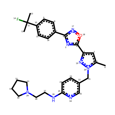 Cc1cc(-c2nc(-c3ccc(C(C)(C)F)cc3)no2)nn1Cc1ccc(NCCN2CCCC2)nc1